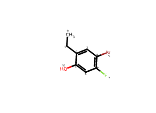 CCc1cc(Br)c(F)cc1O